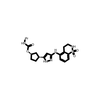 CC(C)NC(=O)O[C@@H]1CC[C@H](c2cc(Nc3cccc4c3CCNS4(=O)=O)n[nH]2)C1